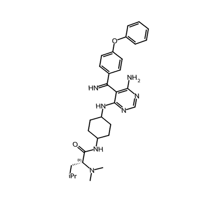 CC(C)C[C@H](C(=O)NC1CCC(Nc2ncnc(N)c2C(=N)c2ccc(Oc3ccccc3)cc2)CC1)N(C)C